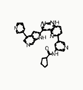 O=C(Nc1cncc(-c2ccc3[nH]nc(-c4cc5c(-c6cccnc6)cncc5[nH]4)c3n2)c1)C1CCCC1